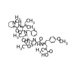 CC[C@H](C)[C@H](NC(=O)[C@H]1CCCCN1C)C(=O)N(Cc1ccccc1)[C@H](C[C@@H](OC(C)=O)c1nc(C(=O)N[C@@H](Cc2ccc(OC)cc2)C[C@H](C)C(=O)O)cs1)C(C)C